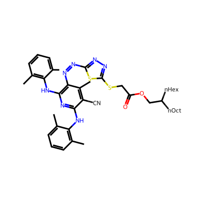 CCCCCCCCC(CCCCCC)COC(=O)CSc1nnc(/N=N\c2c(Nc3c(C)cccc3C)nc(Nc3c(C)cccc3C)c(C#N)c2C)s1